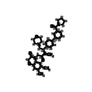 Cc1cc2c(cc1C)N(CC(=O)N(C)C(CN1CCOCC1)c1ccc(-c3cccc(C(=O)N4CCCC4)c3)cc1)C(=O)CO2